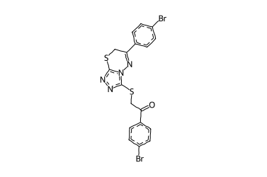 O=C(CSc1nnc2n1N=C(c1ccc(Br)cc1)CS2)c1ccc(Br)cc1